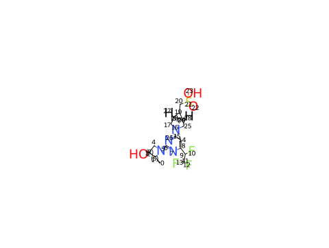 C[C@H]1[C@H](O)CN1c1nc(C(F)C(F)F)cc(N2C[C@@H]3C(CS(=O)O)[C@@H]3C2)n1